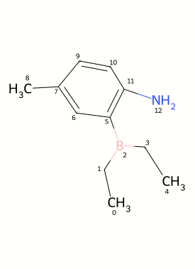 CCB(CC)c1cc(C)ccc1N